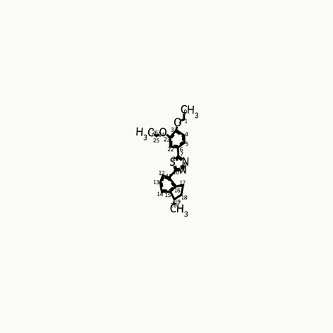 CCOc1ccc(-c2nnc(-c3cccc4c3CC[C@H]4C)s2)cc1OCC